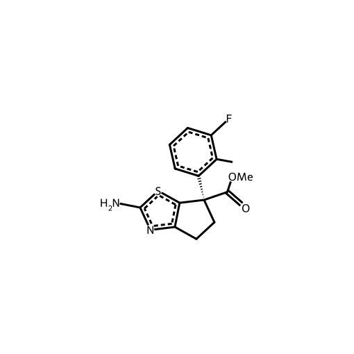 COC(=O)[C@@]1(c2cccc(F)c2C)CCc2nc(N)sc21